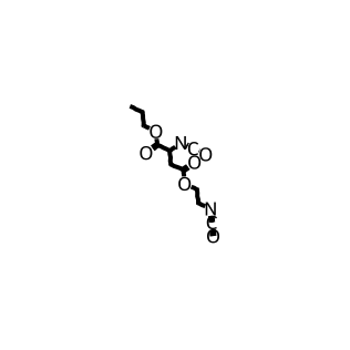 CCCOC(=O)C(CC(=O)OCCN=C=O)N=C=O